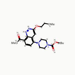 COCCOc1cc2c(N3CCN(C(=O)OC(C)(C)C)CC3)ccc(C(=O)OC)c2nn1